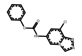 O=C(Nc1cc(Cl)c2nncn2c1)Oc1ccccc1